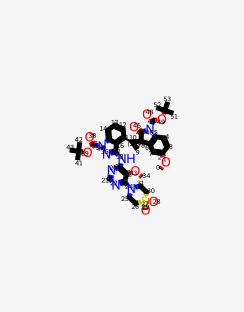 COc1ccc2c(c1)[C@]1(C[C@H]1c1cccc3c1c(Nc1ncnc(N4CCS(=O)(=O)CC4)c1OC)nn3C(=O)OC(C)(C)C)C(=O)N2C(=O)OC(C)(C)C